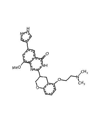 COc1cc(-c2cn[nH]c2)cc2c(=O)[nH]c(C3COc4cccc(OCCN(C)C)c4C3)nc12